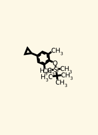 Cc1cc(C2CC2)cc(C)c1O[Si](C)(C)C(C)(C)C